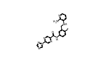 Nc1ncccc1NCc1cc(NC(=O)c2cnc(-n3cncn3)cn2)ccc1F